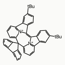 CC(C)(C)c1ccc2c(c1)-c1cccc3[n+]1C2=C1c2ccc(C(C)(C)C)cc2-c2cccc([n+]21)C31c2ccccc2-c2ccccc21